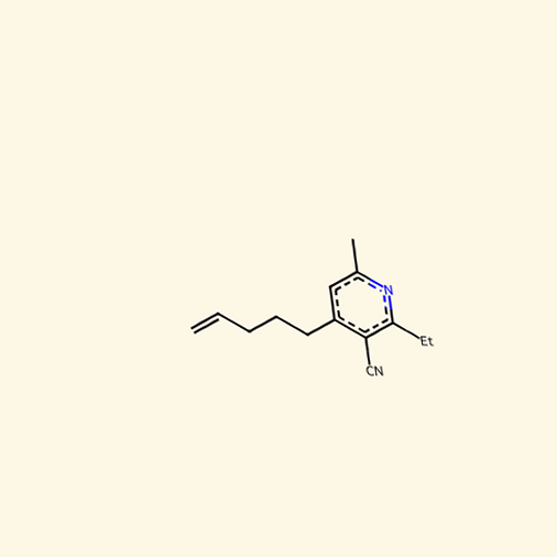 C=CCCCc1cc(C)nc(CC)c1C#N